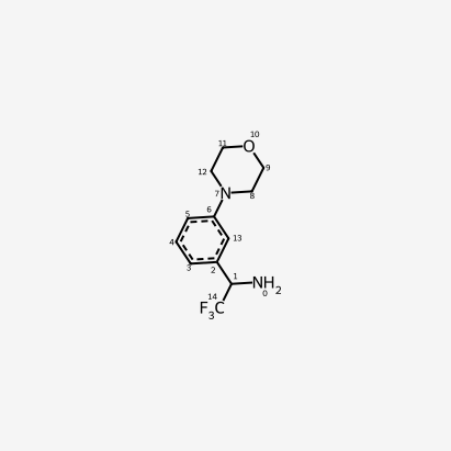 NC(c1cccc(N2CCOCC2)c1)C(F)(F)F